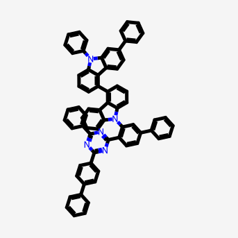 C1=c2c(n(-c3cc(-c4ccccc4)ccc3-c3nc(-c4ccccc4)nc(-c4ccc(-c5ccccc5)cc4)n3)c3cccc(-c4cccc5c4c4ccc(-c6ccccc6)cc4n5-c4ccccc4)c23)=CCC1